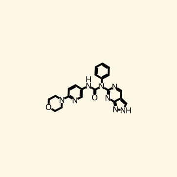 O=C(Nc1ccc(N2CCOCC2)nc1)N(c1ccccc1)c1ncc2c[nH]nc2n1